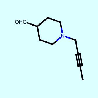 CC#CCN1CCC(C=O)CC1